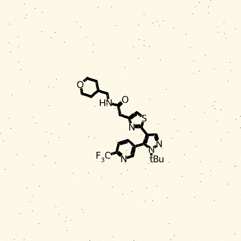 CC(C)(C)n1ncc(-c2nc(CC(=O)NCC3CCOCC3)cs2)c1-c1ccc(C(F)(F)F)nc1